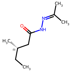 CC[C@H](C)CC(=O)NN=C(C)C